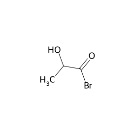 CC(O)C(=O)Br